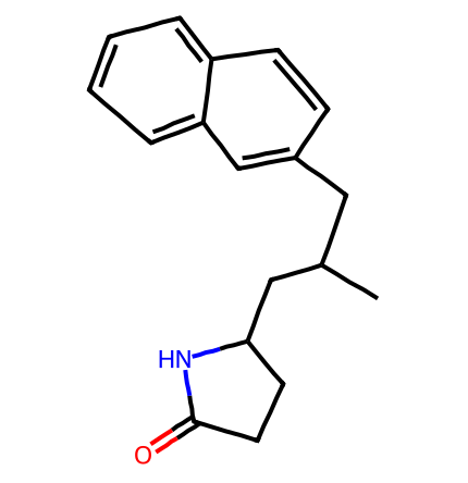 CC(Cc1ccc2ccccc2c1)CC1CCC(=O)N1